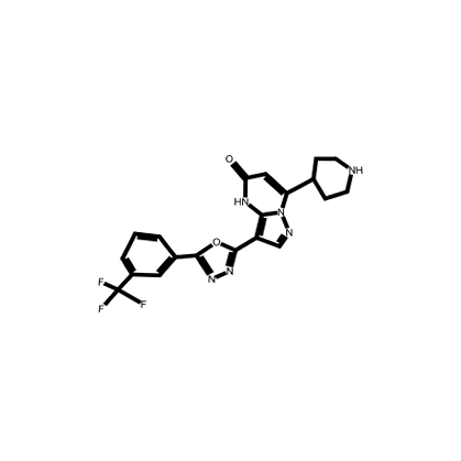 O=c1cc(C2CCNCC2)n2ncc(-c3nnc(-c4cccc(C(F)(F)F)c4)o3)c2[nH]1